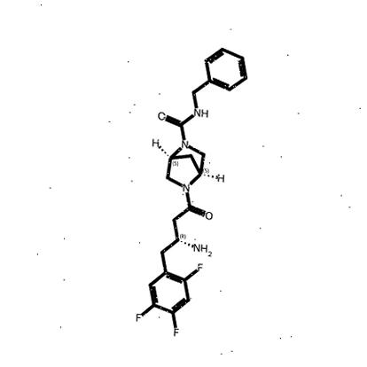 N[C@@H](CC(=O)N1C[C@@H]2C[C@H]1CN2C(=O)NCc1ccccc1)Cc1cc(F)c(F)cc1F